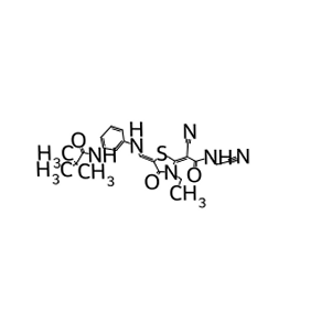 CCn1c(=C(C#N)C(=O)NCC#N)sc(=CNc2cccc(NC(=O)C(C)(C)C)c2)c1=O